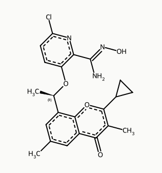 Cc1cc([C@@H](C)Oc2ccc(Cl)nc2C(N)=NO)c2oc(C3CC3)c(C)c(=O)c2c1